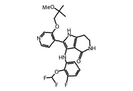 COC(C)(C)COc1cnccc1-c1[nH]c2c(c1Nc1cccc(F)c1OC(F)F)C(=O)NCC2